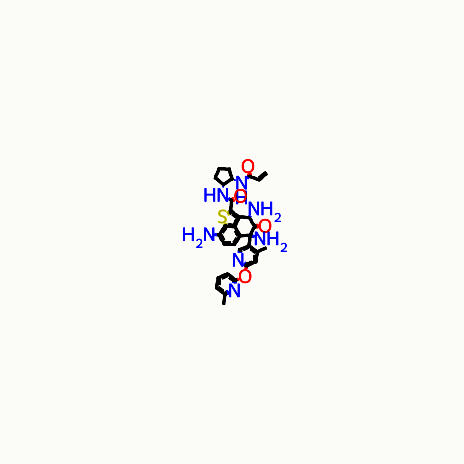 C=CC(=O)N[C@H]1CCC[C@H]1NC(=O)c1sc2c(N)ccc3c2c1C(N)C(=O)C3(N)c1cnc(Oc2cccc(C)n2)cc1C